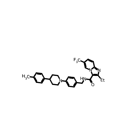 CCc1nc2ccc(C(F)(F)F)cn2c1C(=O)NCc1ccc(N2CCC(c3ccc(C)cc3)CC2)cc1